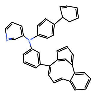 C1=CCC(c2ccc(N(c3cccnc3)c3cccc(/C4=C/C=C/c5ccccc5-c5cccc4c5)c3)cc2)C=C1